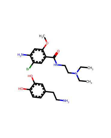 CCN(CC)CCNC(=O)c1cc(Br)c(N)cc1OC.NCCc1ccc(O)c(O)c1